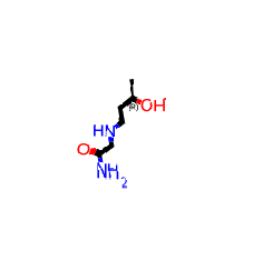 C[C@@H](O)CCNCC(N)=O